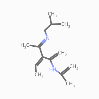 C=C(C)NC(=C)C(=C\C)/C(C)=N/CC(C)C